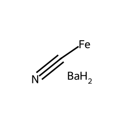 N#[C][Fe].[BaH2]